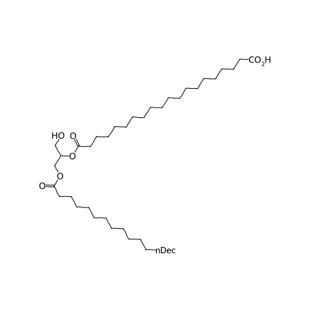 CCCCCCCCCCCCCCCCCCCCCC(=O)OCC(CO)OC(=O)CCCCCCCCCCCCCCCCCCC(=O)O